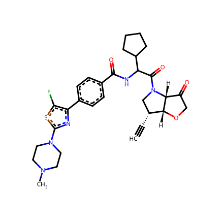 C#C[C@@H]1CN(C(=O)C(NC(=O)c2ccc(-c3nc(N4CCN(C)CC4)sc3F)cc2)C2CCCC2)[C@@H]2C(=O)CO[C@H]12